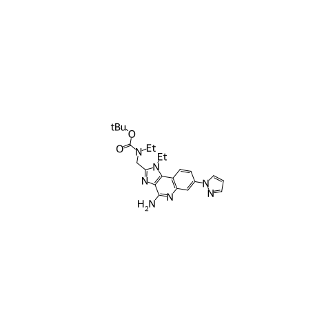 CCN(Cc1nc2c(N)nc3cc(-n4cccn4)ccc3c2n1CC)C(=O)OC(C)(C)C